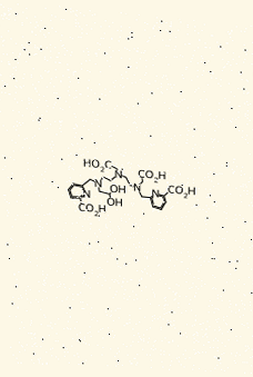 O=C(O)CN(CCN(CC(=O)O)Cc1cccc(C(=O)O)n1)CCN(Cc1cccc(C(=O)O)n1)CC(O)O